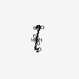 CC(C)[C@@H]([C]=O)N(C)CCCC(=O)NNC(=O)CCCCCN1C(=O)C=CC1=O